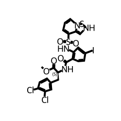 COC(=O)[C@H](Cc1ccc(Cl)c(Cl)c1)NC(=O)c1ccc(I)cc1NS(=O)(=O)C1=CC=CN2SNC=C12